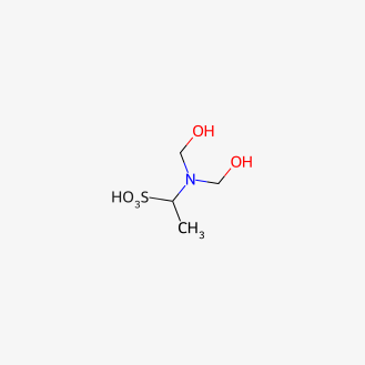 CC(N(CO)CO)S(=O)(=O)O